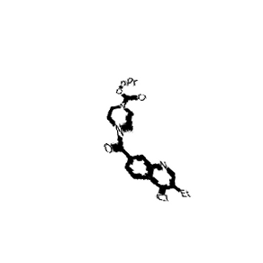 CCCOC(=O)N1CCN(C(=O)c2ccc3c(Cl)c(CC)cnc3c2)CC1